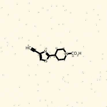 C#Cc1csc(C2CCN(C(=O)O)CC2)n1